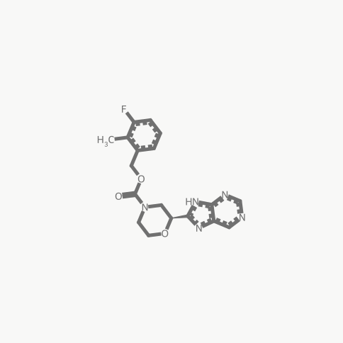 Cc1c(F)cccc1COC(=O)N1CCO[C@H](c2nc3cncnc3[nH]2)C1